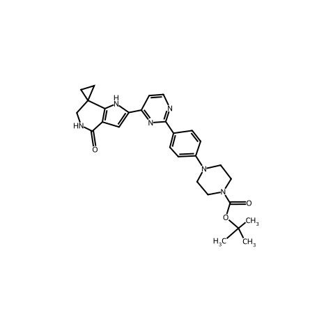 CC(C)(C)OC(=O)N1CCN(c2ccc(-c3nccc(-c4cc5c([nH]4)C4(CC4)CNC5=O)n3)cc2)CC1